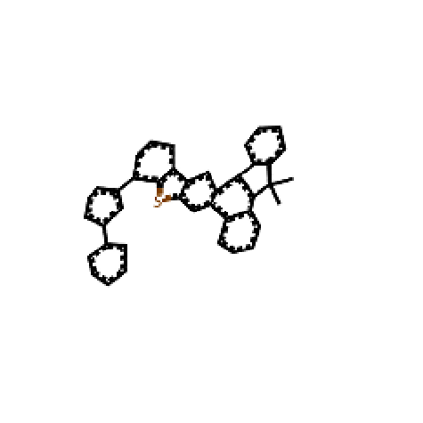 CC1(C)c2ccccc2-c2c1c1ccccc1c1cc3sc4c(-c5cccc(-c6ccccc6)c5)cccc4c3cc21